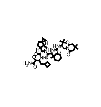 CC1(C)CC(=O)N(C[C@@H](NC(=O)N[C@H](C(=O)N2C[C@H]3[C@H](CCC34CC4)[C@H]2C(=O)NC(CC2CCC2)C(=O)C(N)=O)C2(C)CCCCC2)C(C)(C)C)C(=O)C1